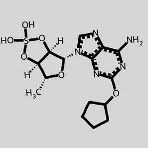 C[C@H]1O[C@@H](n2cnc3c(N)nc(OC4CCCC4)nc32)[C@@H]2OS(O)(O)O[C@@H]21